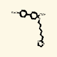 COc1ccc(C2=CCC(OC)(OCCCCCCC3=NCCO3)C=C2)cc1